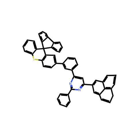 C1=Cc2cc(-c3cc(-c4cccc(-c5ccc6c(c5)C5(c7ccccc7S6)c6ccccc6-c6ccccc65)c4)nc(-c4ccccc4)n3)cc3cccc(c23)C1